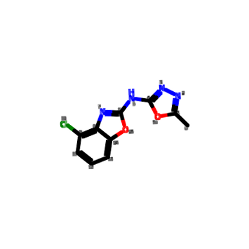 Cc1nnc(Nc2nc3c(Cl)cccc3o2)o1